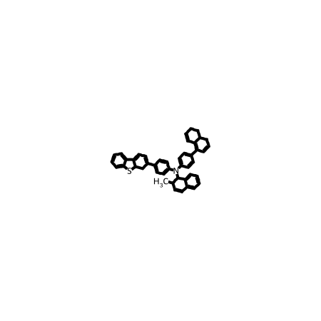 CC1C=Cc2ccccc2C1N(c1ccc(C2=CC=C3c4ccccc4SC3C2)cc1)c1ccc(C2=C3C=CCCC3CC=C2)cc1